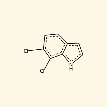 Clc1ccc2[c]c[nH]c2c1Cl